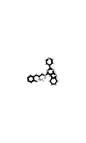 Cc1ccccc1C[C@H](N)CNc1nc(C2C=CN=CC2)nc2sc3c(c12)CCCC3